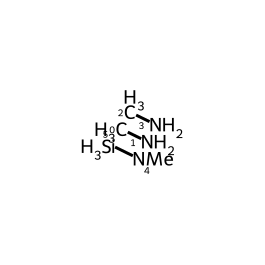 CN.CN.CN[SiH3]